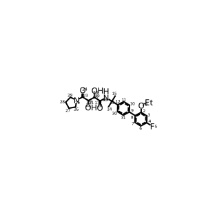 CCOc1cc(F)ccc1-c1ccc(C(C)(C)NC(=O)[C@H](O)[C@@H](O)C(=O)N2CCCC2)cc1